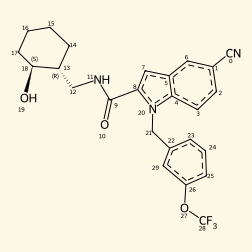 N#Cc1ccc2c(c1)cc(C(=O)NC[C@H]1CCCC[C@@H]1O)n2Cc1cccc(OC(F)(F)F)c1